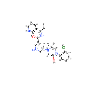 CC[C@@H](NC(=O)[C@@H]1CNC[C@H](N2CC(=O)N(c3ccccc3Cl)CC2(C)C)C1)c1cccnc1